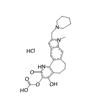 Cl.Cn1c(CN2CCCCC2)cc2cc3c(cc21)CCCc1c-3[nH]c(=O)c(OC(=O)O)c1O